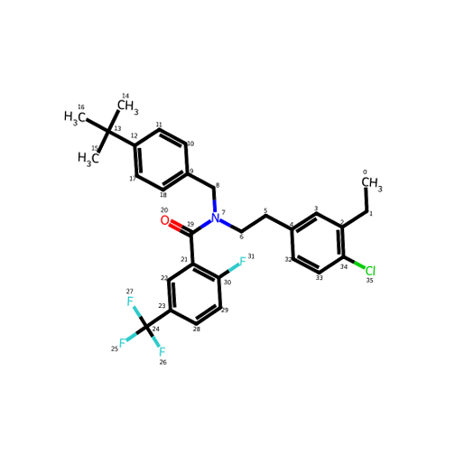 CCc1cc(CCN(Cc2ccc(C(C)(C)C)cc2)C(=O)c2cc(C(F)(F)F)ccc2F)ccc1Cl